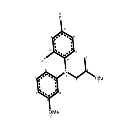 CCCCC(C)CN(c1cccc(OC)c1)c1ccc(F)cc1F